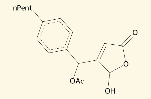 CCCCCc1ccc(C(OC(C)=O)C2=CC(=O)OC2O)cc1